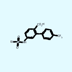 CCS(=O)(=O)Nc1ccc(C(=O)O)c(-c2ccc(C(F)(F)F)cc2)c1